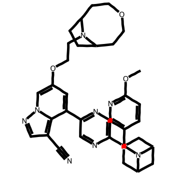 COc1ccc(CN2C3CC2CN(c2cnc(-c4cc(OCCN5C6CCOCCC5CC6)cn5ncc(C#N)c45)cn2)C3)cn1